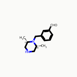 C[C@@H]1CNC[C@H](C)N1Cc1cccc(C=O)c1